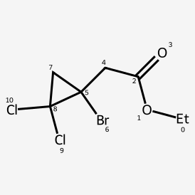 CCOC(=O)CC1(Br)CC1(Cl)Cl